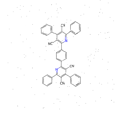 N#Cc1c(-c2ccccc2)nc(-c2ccc(-c3nc(-c4ccccc4)c(C#N)c(-c4ccccc4)c3C#N)cc2)c(C#N)c1-c1ccccc1